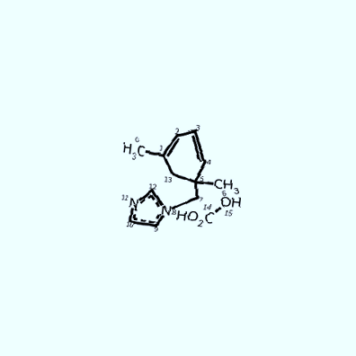 CC1=CC=CC(C)(Cn2ccnc2)C1.O=C(O)O